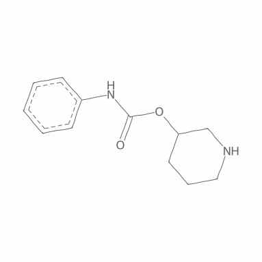 O=C(Nc1ccccc1)OC1CCCNC1